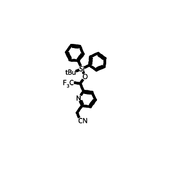 CC(C)(C)[Si](OC(c1cccc(CC#N)n1)C(F)(F)F)(c1ccccc1)c1ccccc1